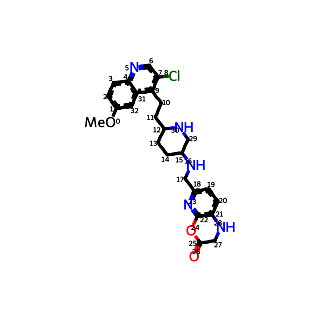 COc1ccc2ncc(Cl)c(CCC3CCC(NCc4ccc5c(n4)OC(=O)CN5)CN3)c2c1